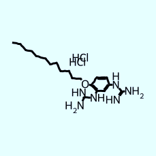 CCCCCCCCCCCCOc1ccc(NC(=N)N)cc1NC(=N)N.Cl.Cl